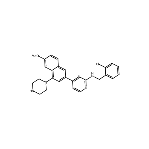 COc1ccc2cc(-c3ccnc(NCc4ccccc4Cl)n3)cc(N3CCNCC3)c2c1